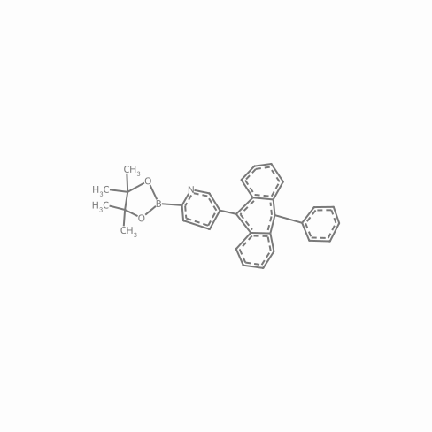 CC1(C)OB(c2ccc(-c3c4ccccc4c(-c4ccccc4)c4ccccc34)cn2)OC1(C)C